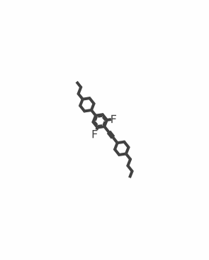 CCCCC1CCC(C#Cc2c(F)cc(C3CCC(CCC)CC3)cc2F)CC1